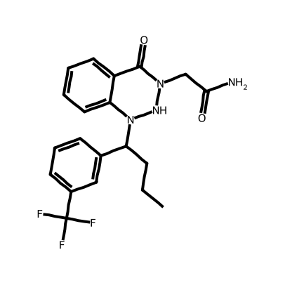 CCCC(c1cccc(C(F)(F)F)c1)N1NN(CC(N)=O)C(=O)c2ccccc21